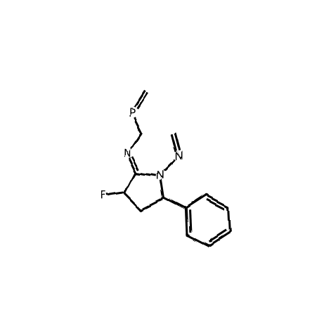 C=NN1/C(=N\CP=C)C(F)CC1c1ccccc1